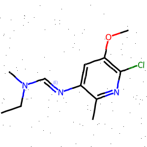 CCN(C)/C=N/c1cc(OC)c(Cl)nc1C